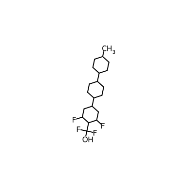 CC1CCC(C2CCC(C3CC(F)C(C(O)(F)F)C(F)C3)CC2)CC1